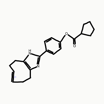 O=C(Oc1ccc(-c2nc3c([nH]2)CC/C=C/CC3)cc1)C1CCCC1